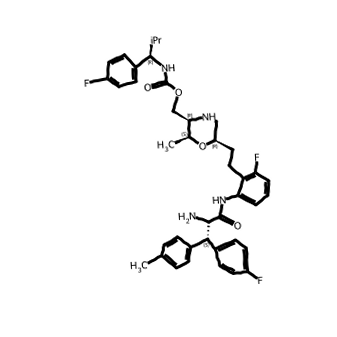 Cc1ccc([C@@H](c2ccc(F)cc2)C(N)C(=O)Nc2cccc(F)c2CC[C@@H]2CN[C@H](COC(=O)N[C@@H](c3ccc(F)cc3)C(C)C)[C@H](C)O2)cc1